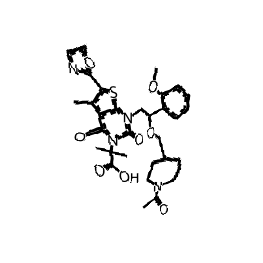 COc1ccccc1C(Cn1c(=O)n(C(C)(C)C(=O)O)c(=O)c2c(C)c(-c3ncco3)sc21)OCC1CCN(C(C)=O)CC1